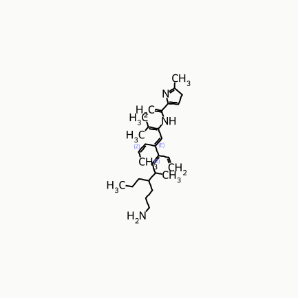 C=CC(=C\C(C)C(CCC)CCCN)/C(/C=C\C)=C/C(NC(=C)C1=CCC(C)=N1)=C(C)C